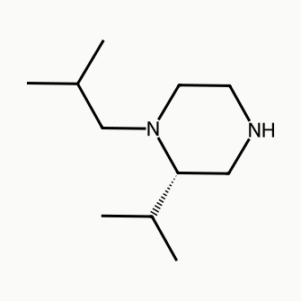 CC(C)CN1CCNC[C@@H]1C(C)C